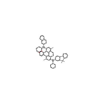 Cc1cc(N(c2ccccc2)c2ccc3ccccc3c2)c2c3ccccc3c3c(C)cc(B(c4ccccc4)c4ccc5c(c4)C(C)(C)c4ccccc4-5)c4ccc1c2c43